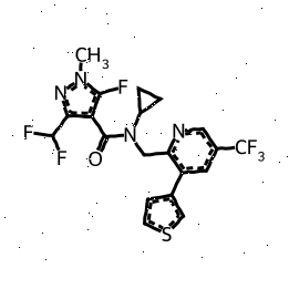 Cn1nc(C(F)F)c(C(=O)N(Cc2ncc(C(F)(F)F)cc2-c2ccsc2)C2CC2)c1F